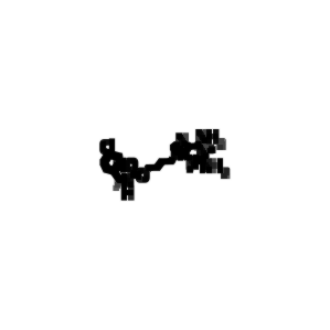 C[C@@H](NC(O)OCCCCN1C=NC2C(N)=[N+](C)C(N)N(C)C21)c1ccc(Cl)cc1